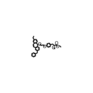 CCOC(=O)C(Cc1ccc(OCCOC2c3ccc(CC)cc3C=Cc3cc(Cc4ccccc4)ccc32)cc1)OC